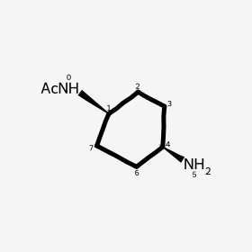 CC(=O)N[C@H]1CC[C@@H](N)CC1